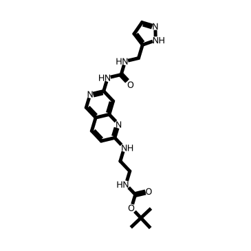 CC(C)(C)OC(=O)NCCNc1ccc2cnc(NC(=O)NCc3ccn[nH]3)cc2n1